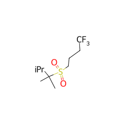 CC(C)C(C)(C)S(=O)(=O)CCCC(F)(F)F